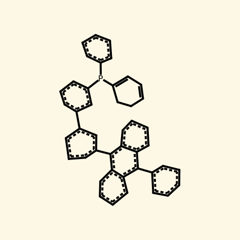 C1=CCCC(P(c2ccccc2)c2cccc(-c3cccc(-c4c5ccccc5c(-c5ccccc5)c5ccccc45)c3)c2)=C1